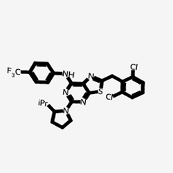 CC(C)C1CCCN1c1nc(Nc2ccc(C(F)(F)F)cc2)c2nc(Cc3c(Cl)cccc3Cl)sc2n1